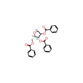 C[C@H]1O[C@@H](COC(=O)c2ccccc2)[C@@H](OC(=O)c2ccccc2)C1OC(=O)c1ccccc1